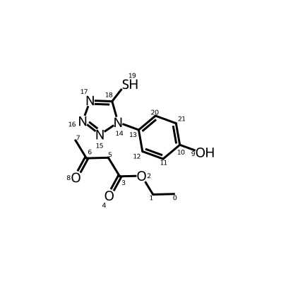 CCOC(=O)CC(C)=O.Oc1ccc(-n2nnnc2S)cc1